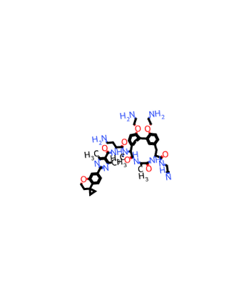 Cc1nc(-c2ccc3c(c2)OCCC32CC2)nc(C)c1C(=O)NC(CCN)C(=O)N(C)C1C(=O)NC(C)C(=O)NC(C(=O)NCC#N)Cc2ccc(OCCN)c(c2)-c2cc1ccc2OCCN